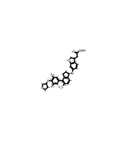 COC(=O)CC1COc2cc(O[C@@H]3CCc4c3ccc(C(F)(F)F)c4-c3cc(F)c(OC4CCOC4)c(F)c3)ccc21